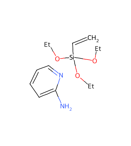 C=C[Si](OCC)(OCC)OCC.Nc1ccccn1